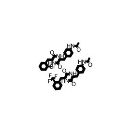 CC(=O)Nc1ccc(C=c2[nH]c(=O)c(=Cc3ccccc3Br)[nH]c2=O)cc1.CC(=O)Nc1ccc(C=c2[nH]c(=O)c(=Cc3ccccc3C(F)(F)F)[nH]c2=O)cc1